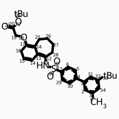 Cc1cc(-c2ccc(S(=O)(=O)NC3=C4C=CCC(OCC(=O)OC(C)(C)C)=C4CCCC3)cc2)cc(C(C)(C)C)c1